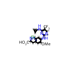 COc1cc(C[C@H](N)C(=O)O)c(Cl)cc1Nc1ncc(C(F)(F)F)c(NC2CC2)n1